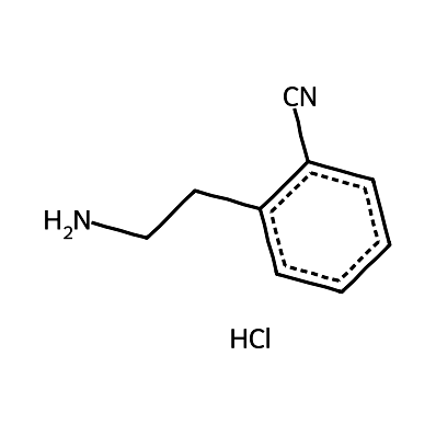 Cl.N#Cc1ccccc1CCN